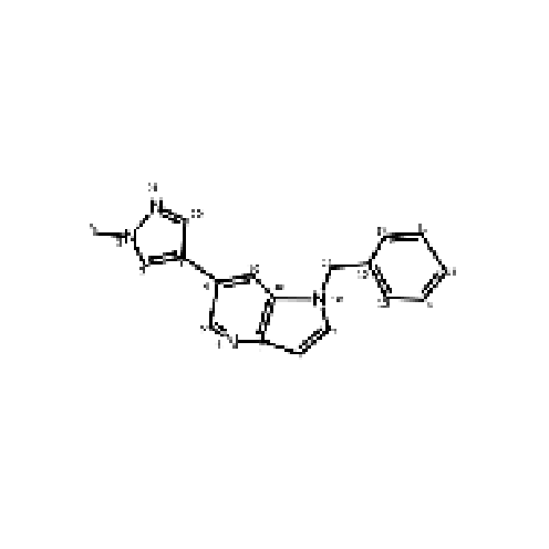 Cn1cc(-c2cnc3ccn(Cc4ccccc4)c3c2)cn1